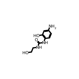 Nc1ccc(NC(=O)NCCO)c(O)c1